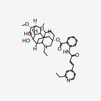 CCc1cc(/C=C/C(=O)Nc2ccccc2C(=O)O[C@@]23CC[C@H](OC)[C@]45C([C@@H](C[C@H]24)[C@@]2(O)C[C@H](OC)[C@H]4C[C@@H]5[C@]2(O)C4)N(CC)C3)ccn1